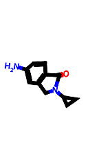 Nc1ccc2c(c1)CN(C1CC1)C2=O